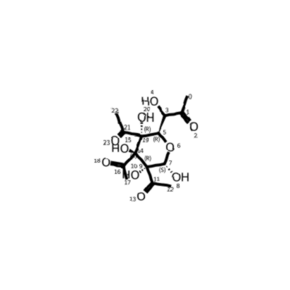 CC(=O)C(O)[C@H]1O[C@H](O)[C@@](O)(C(C)=O)[C@](O)(C(C)=O)[C@@]1(O)C(C)=O